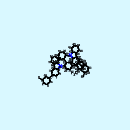 Cc1cccc(-c2ccc3c(c2)c2ccccc2n3-c2ccc(-c3c(C(F)(F)F)cccc3C(F)(F)F)cc2-c2c(C#N)cccc2-n2c3ccccc3c3cc(-c4cccc(C)c4)ccc32)c1